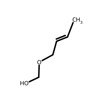 CC=CCOCO